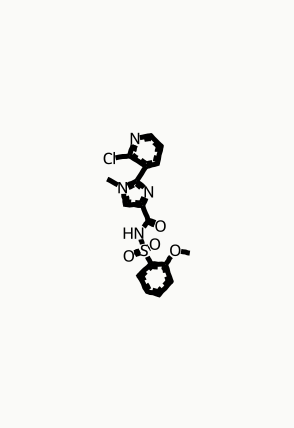 COc1ccccc1S(=O)(=O)NC(=O)c1cn(C)c(-c2cccnc2Cl)n1